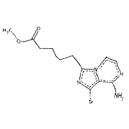 COC(=O)CCCCc1nc(Br)c2c(N)nccn12